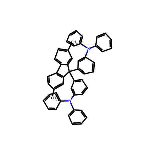 Cc1ccc2c(c1)C(c1cccc(N(c3ccccc3)c3ccccc3)c1)(c1cccc(N(c3ccccc3)c3ccccc3)c1)c1cc(C)ccc1-2